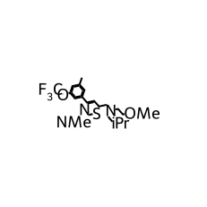 CNC1=NC(c2cc(C)cc(OC(F)(F)F)c2)=CC(CN(CCOC)CC(C)C)S1